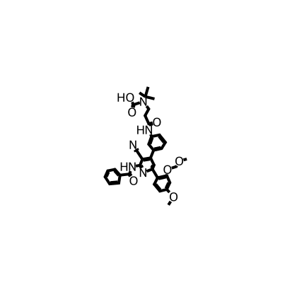 COCOc1cc(OC)ccc1-c1cc(-c2cccc(NC(=O)CCN(C(=O)O)C(C)(C)C)c2)c(C#N)c(NC(=O)c2ccccc2)n1